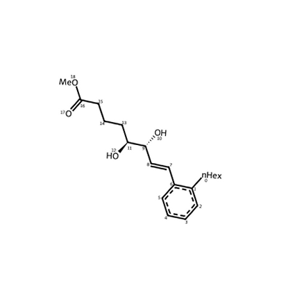 CCCCCCc1ccccc1/C=C/[C@@H](O)[C@@H](O)CCCC(=O)OC